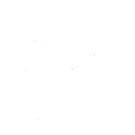 Cc1ccc2c(c1O)C[C@@H](C1CCN(CCC(C)NC(=O)c3ccc(Cl)cc3)CC1)O[C@H]2CN.Cl.Cl